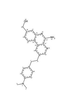 CN(C)c1ccc(CCc2cnc3c(N)nc4cc(CO)ccc4c3c2)cc1